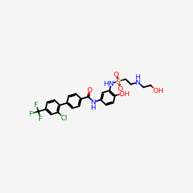 O=C(Nc1ccc(O)c(NS(=O)(=O)CCNCCO)c1)c1ccc(-c2ccc(C(F)(F)F)cc2Cl)cc1